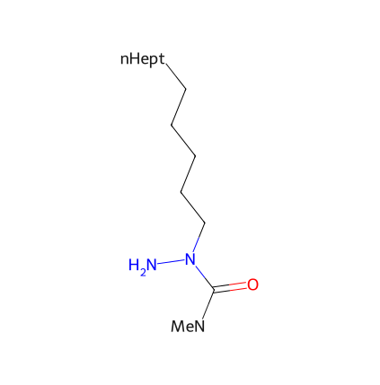 CCCCCCCCCCCCN(N)C(=O)NC